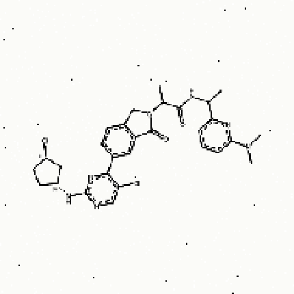 CC(NC(=O)C(C)N1Cc2ccc(-c3nc(N[C@@H]4CC[C@@H](O)C4)ncc3Cl)cc2C1=O)c1cccc(N(C)C)n1